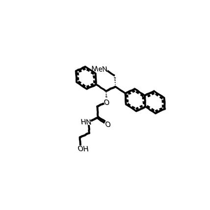 CNC[C@H](c1ccc2ccccc2c1)[C@H](OCC(=O)NCCO)c1ccccc1